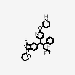 Fc1nn(C2CCCCO2)c2ccc(/C(=C(\CC(F)(F)F)c3ccccc3)c3ccc(O[C@H]4CCCNC4)nc3)cc12